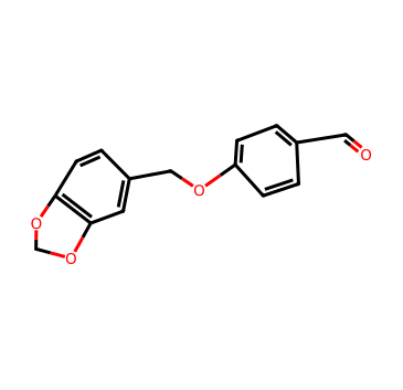 O=Cc1ccc(OCc2ccc3c(c2)OCO3)cc1